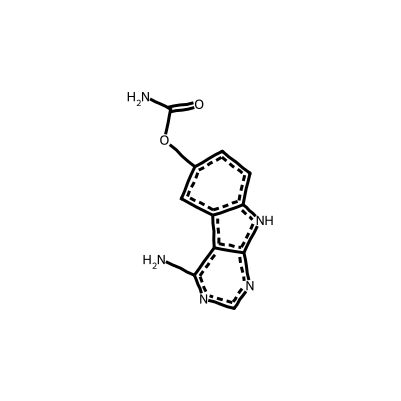 NC(=O)Oc1ccc2[nH]c3ncnc(N)c3c2c1